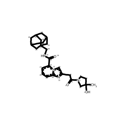 CC1(O)CCN(C(=O)Cc2cn3c(C(=O)NCC45CC6CC(CC(C6)C4)C5)cccc3n2)C1